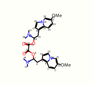 COc1ccc2c(CC(OC(=O)C(=O)OC(Cc3ccn4cc(OC)ccc34)N(C)C)N(C)C)ccn2c1